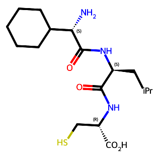 CC(C)C[C@H](NC(=O)[C@@H](N)C1CCCCC1)C(=O)N[C@@H](CS)C(=O)O